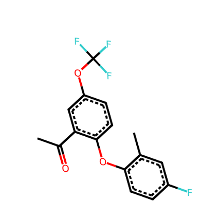 CC(=O)c1cc(OC(F)(F)F)ccc1Oc1ccc(F)cc1C